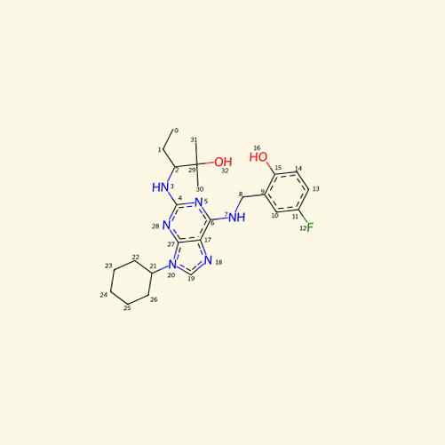 CCC(Nc1nc(NCc2cc(F)ccc2O)c2ncn(C3CCCCC3)c2n1)C(C)(C)O